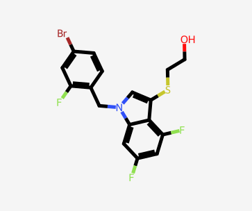 OCCSc1cn(Cc2ccc(Br)cc2F)c2cc(F)cc(F)c12